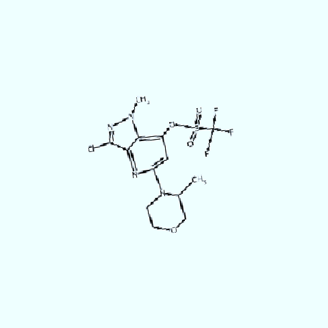 CC1COCCN1c1cc(OS(=O)(=O)C(F)(F)F)c2c(n1)c(Cl)nn2C